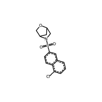 O=S(=O)(c1ccc2c(Cl)cccc2c1)N1CC2CC1CO2